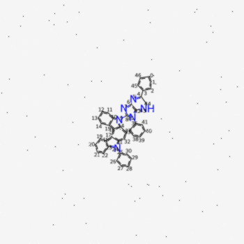 c1ccc(C2=Nc3nc(-n4c5ccccc5c5c6c7ccccc7n(-c7ccccc7)c6ccc54)n(-c4ccccc4)c3NC2)cc1